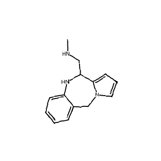 CNCC1Nc2ccccc2Cn2cccc21